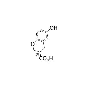 O=C(O)[C@H]1COc2ccc(O)cc2C1